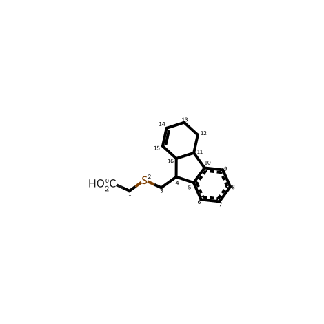 O=C(O)CSCC1c2ccccc2C2CCC=CC21